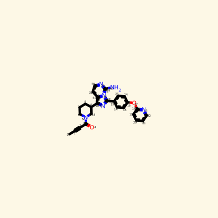 CC#CC(=O)N1CCCC(c2nc(-c3ccc(Oc4ccccn4)cc3)n3c(N)nccc23)C1